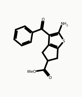 COC(=O)C1Cc2sc(N)c(C(=O)c3ccccc3)c2C1